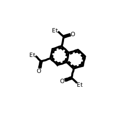 CCC(=O)c1[c]c2c(C(=O)CC)cccc2c(C(=O)CC)c1